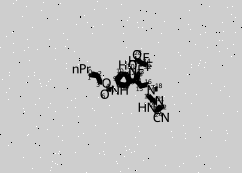 CCCC=CCOC(=O)Nc1ccc2[nH]cc(CCN(C)Cc3ncc(C#N)[nH]3)c2c1.O=C(O)C(F)(F)F